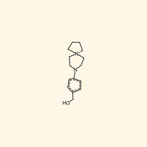 OCc1ccc(N2CC[N+]3(CCCC3)CC2)cc1